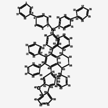 c1ccc(-c2ccc(N(c3ccc(-c4ccccc4)cc3)c3ccc(-c4c(-c5ccccc5)c(-c5ccccc5)c(-c5ccc6c(c5)oc5ccccc56)c5c4C(c4ccccc4)CCC5c4ccccc4)cc3)cc2)cc1